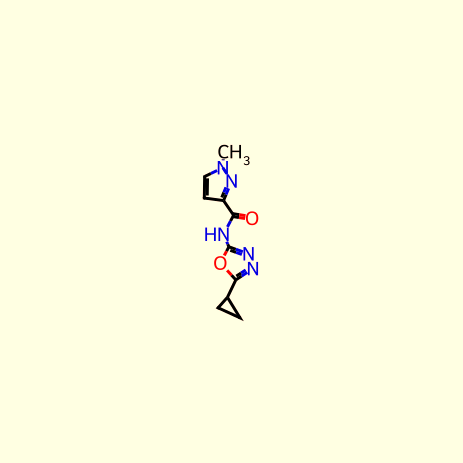 Cn1ccc(C(=O)Nc2nnc(C3CC3)o2)n1